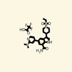 CCS(=O)(=O)N1CCC(c2c[nH]c3c(C(N)=O)cc(-c4ccnc(N(C)C)c4)cc23)CC1.O=C(O)C(F)(F)F